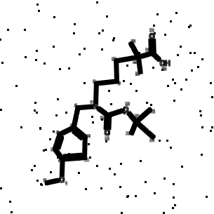 COc1ccc(CN(CCCC(C)(C)C(=O)O)C(=O)OC(C)(C)C)cc1